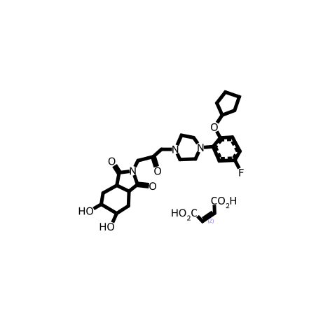 O=C(CN1CCN(c2cc(F)ccc2OC2CCCC2)CC1)CN1C(=O)C2CC(O)C(O)CC2C1=O.O=C(O)/C=C\C(=O)O